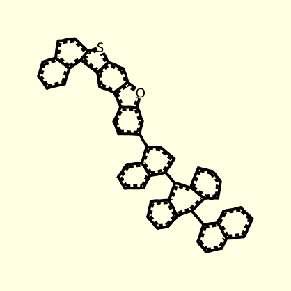 c1ccc2c(-c3c4ccccc4c(-c4ccc(-c5ccc6c(c5)oc5cc7sc8ccc9ccccc9c8c7cc56)c5ccccc45)c4ccccc34)cccc2c1